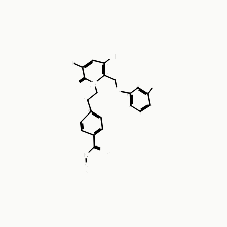 CCc1cccc(OCc2c(Cl)cc(Cl)c(=O)n2CCc2ccc(C(=O)NN)cc2)c1